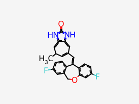 CC1C=C(/C=C2\c3ccc(F)cc3COc3cc(F)ccc32)C=c2[nH]c(=O)[nH]c2=C1